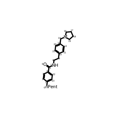 CCCCCc1ccc(C(=O)NCCc2ccc(CN3CCCC3)cc2)cc1